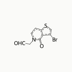 O=CCn1ccc2scc(Br)c2c1=O